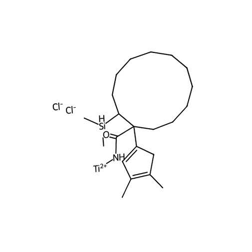 CC1=C(C)CC(C2(C(=O)[NH][Ti+2])CCCCCCCCCCC2[SiH](C)C)=C1.[Cl-].[Cl-]